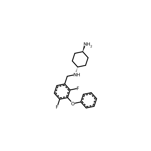 N[C@H]1CC[C@H](NCc2ccc(F)c(Oc3ccccc3)c2F)CC1